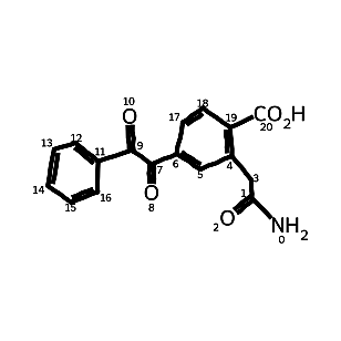 NC(=O)Cc1cc(C(=O)C(=O)c2ccccc2)ccc1C(=O)O